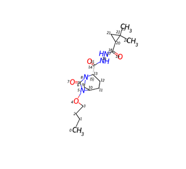 CCCCON1C(=O)N2CC1CC[C@H]2C(=O)NNC(=O)C1CC1(C)C